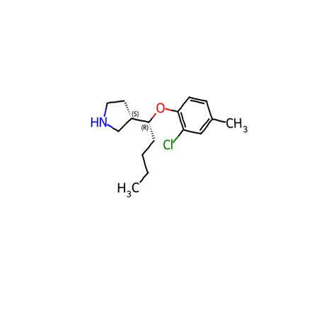 CCCC[C@@H](Oc1ccc(C)cc1Cl)[C@H]1CCNC1